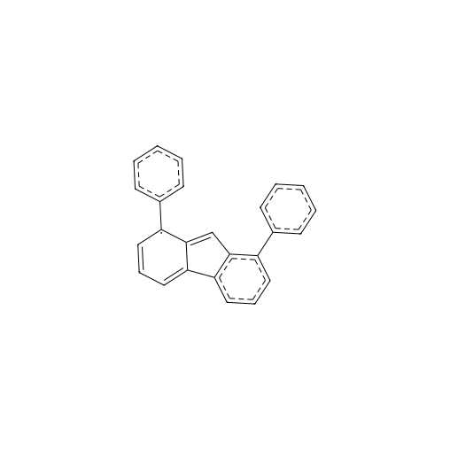 C1=C[C](c2ccccc2)C2=Cc3c(cccc3-c3ccccc3)C2=C1